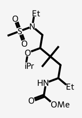 CCC(CC(C)(C)C(CN(CC)S(C)(=O)=O)OC(C)C)NC(=O)OC